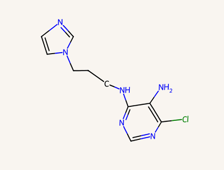 Nc1c(Cl)ncnc1NCCCn1ccnc1